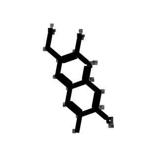 Cc1cc2cc(CBr)c(Br)nc2cc1Cl